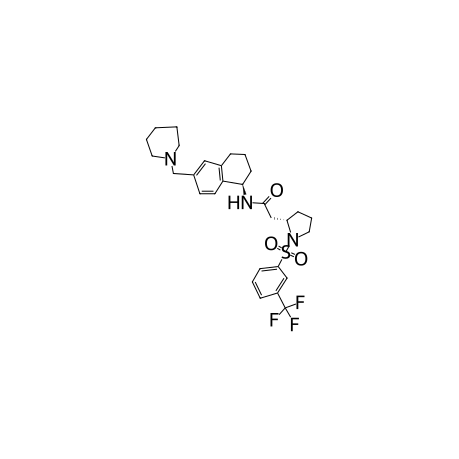 O=C(C[C@@H]1CCCN1S(=O)(=O)c1cccc(C(F)(F)F)c1)N[C@@H]1CCCc2cc(CN3CCCCC3)ccc21